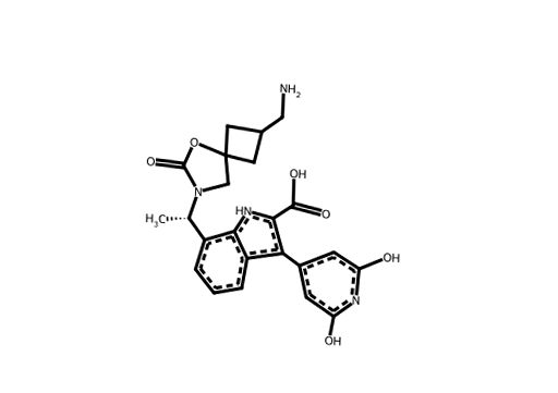 C[C@@H](c1cccc2c(-c3cc(O)nc(O)c3)c(C(=O)O)[nH]c12)N1CC2(CC(CN)C2)OC1=O